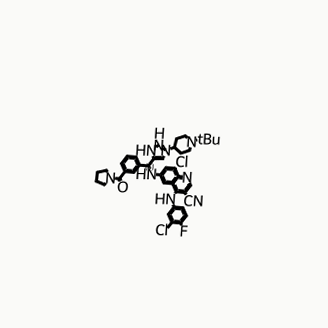 CC(C)(C)N1CCC(N2C=C([C@@H](Nc3cc(Cl)c4ncc(C#N)c(Nc5ccc(F)c(Cl)c5)c4c3)c3cccc(C(=O)N4CCCC4)c3)NN2)CC1